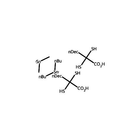 CCCCCCCCCCC(S)(S)C(=O)O.CCCCCCCCCCC(S)(S)C(=O)O.CCC[CH2][Sn][CH2]CCC.[CH3][Sn][CH3]